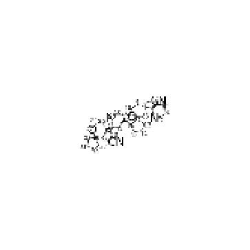 N#CCC1(c2ccccn2)CCOC2(CCCC2c2ccnc([C@]3(CC#N)CCOC4(CCCC4)C3)c2)C1